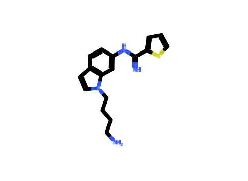 N=C(Nc1ccc2ccn(CCCCN)c2c1)c1cccs1